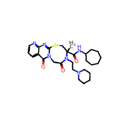 CC1(C(=O)NC2CCCCCC2)CSc2nc3ncccc3c(=O)n2CC(=O)N1CCN1CCCCC1